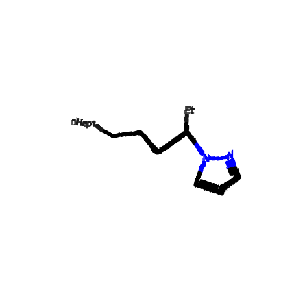 CCCCCCCCCCC(CC)n1cccn1